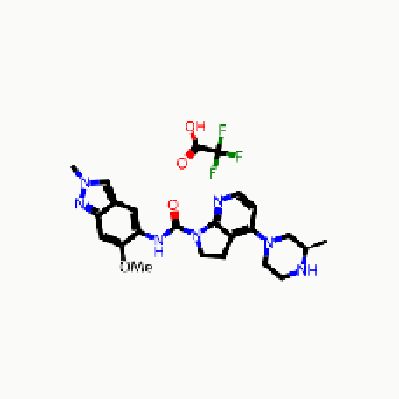 COc1cc2nn(C)cc2cc1NC(=O)N1CCc2c(N3CCN[C@H](C)C3)ccnc21.O=C(O)C(F)(F)F